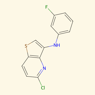 Fc1cccc(Nc2csc3ccc(Cl)nc23)c1